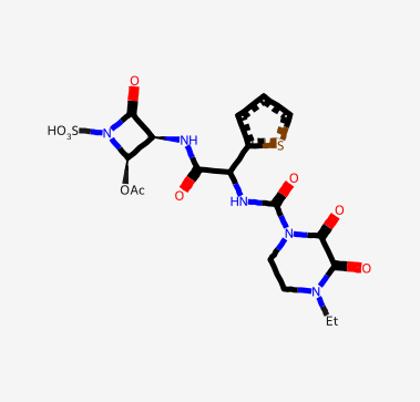 CCN1CCN(C(=O)NC(C(=O)N[C@@H]2C(=O)N(S(=O)(=O)O)[C@@H]2OC(C)=O)c2cccs2)C(=O)C1=O